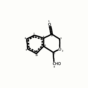 O=CC1OCC(=O)c2ccccc21